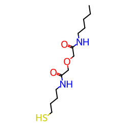 CCCCCNC(=O)COCC(=O)NCCCCS